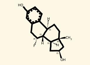 C[C@]12CC[C@@H]3c4ccc(O)cc4C[C@@H](F)[C@H]3[C@@H]1C[C@H](O)C2